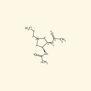 CCCN1C[C@H](OC(C)=O)[C@H](OC(C)=O)C1